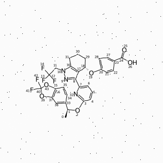 C[C@H](Oc1cccc(-c2nn(CC(F)(F)F)c3c2[C@@H](Oc2ccc(C(=O)O)cc2)CCC3)n1)c1ccc2c(c1)OC(F)(F)O2